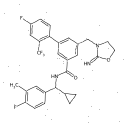 Cc1cc(C(NC(=O)c2cc(CN3CCOC3=N)cc(-c3ccc(F)cc3C(F)(F)F)c2)C2CC2)ccc1F